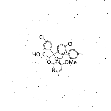 COc1cc(C)nc(OC(C(=O)O)C(OCCc2ccc(C)cc2)(c2ccc(Cl)cc2)c2ccc(Cl)cc2)n1